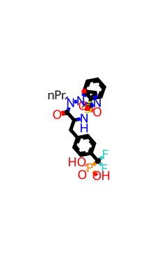 CCCN(C(=O)C(Cc1ccc(C(F)(F)P(=O)(O)O)cc1)NS(=O)(=O)c1ccccc1)n1ccnc1